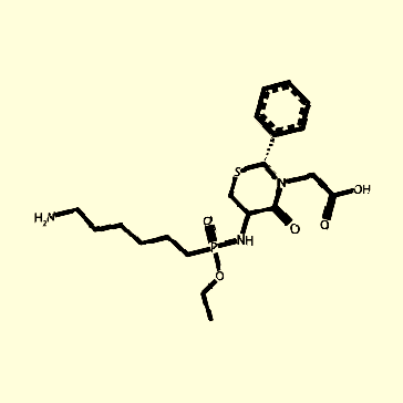 CCOP(=O)(CCCCCCN)NC1CS[C@H](c2ccccc2)N(CC(=O)O)C1=O